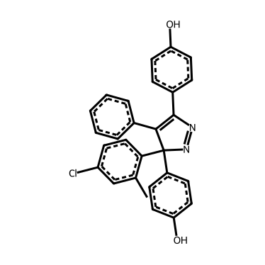 Cc1cc(Cl)ccc1C1(c2ccc(O)cc2)N=NC(c2ccc(O)cc2)=C1c1ccccc1